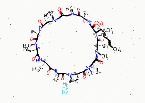 CC=CC[C@@H](C)[C@@H](O)[C@H]1C(=O)N[C@@H](CC)C(=O)N(C)CC(=O)N(C)[C@@H](CC(C)C)C(=O)N[C@@H](C(C)C)C(=O)N(C)[C@@H](CC(C)C)C(=O)N[C@@H](C)C(=O)N[C@H](C)C(=O)N(C)[C@@H](CC(C)C)C(=O)N(C)[C@@H](CC(C)C)C(=O)N(C)[C@@H](C(C)C)C(=O)N1C.F.F.F